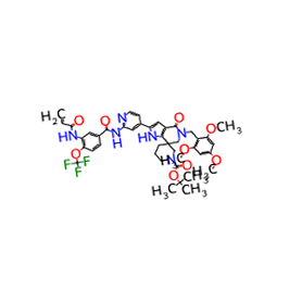 C=CC(=O)Nc1cc(C(=O)Nc2cc(-c3cc4c([nH]3)C3(CCCN(C(=O)OC(C)(C)C)C3)CN(Cc3c(OC)cc(OC)cc3OC)C4=O)ccn2)ccc1OC(F)(F)F